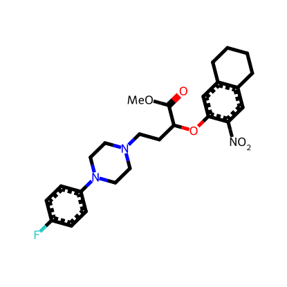 COC(=O)C(CCN1CCN(c2ccc(F)cc2)CC1)Oc1cc2c(cc1[N+](=O)[O-])CCCC2